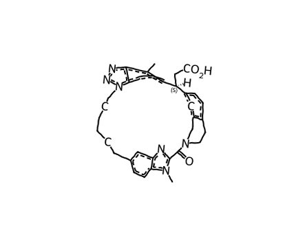 Cc1c2ccc3c1nnn3CCCCCCc1ccc3c(c1)nc(n3C)C(=O)N1CCc3ccc(cc3C1)[C@@H]2CC(=O)O